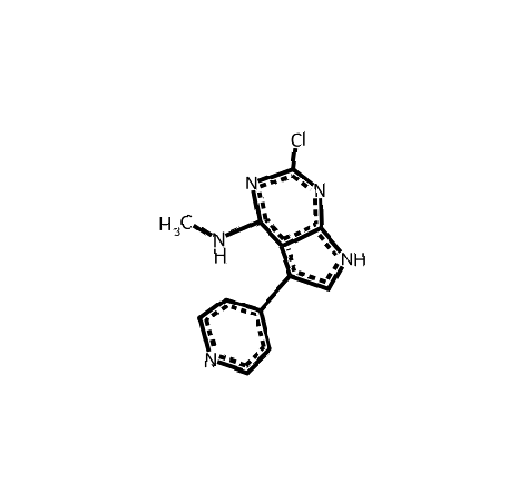 CNc1nc(Cl)nc2[nH]cc(-c3ccncc3)c12